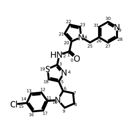 O=C(Nc1nc(C2CCCN2c2ccc(Cl)cc2)cs1)c1cccn1Cc1ccncc1